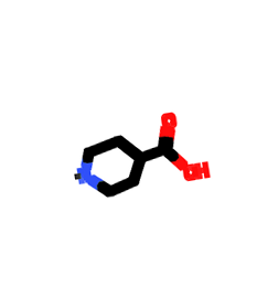 O=C(O)C1CC[N]CC1